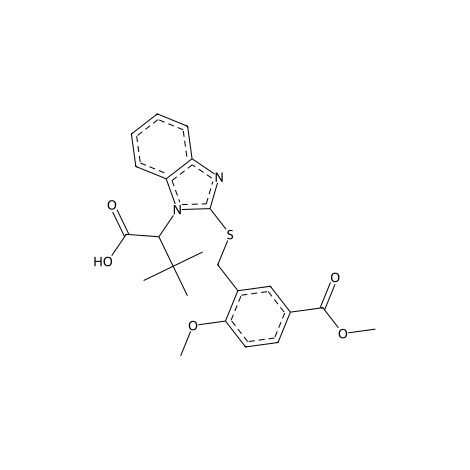 COC(=O)c1ccc(OC)c(CSc2nc3ccccc3n2C(C(=O)O)C(C)(C)C)c1